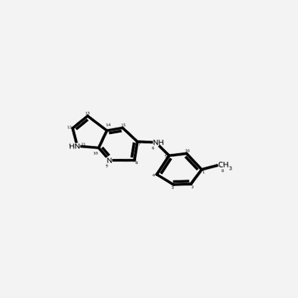 Cc1cccc(Nc2cnc3[nH]ccc3c2)c1